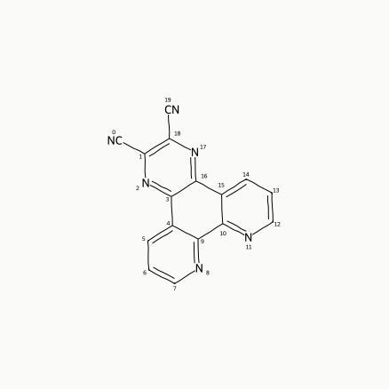 N#Cc1nc2c3cccnc3c3ncccc3c2nc1C#N